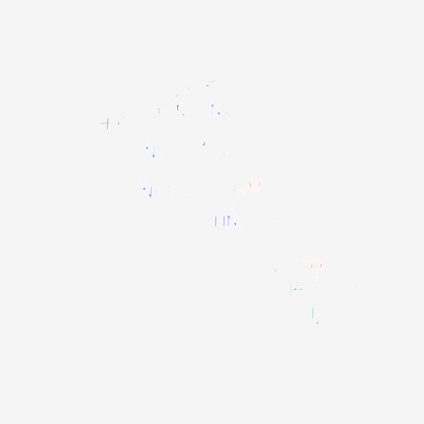 CC(C)n1cnc2cc(C(=O)Nc3ccc(OC(F)(F)Cl)cc3)cc(-c3cscn3)c21